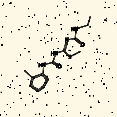 CCNC(=O)N=C(NC(=O)Nc1ccccc1C)SC